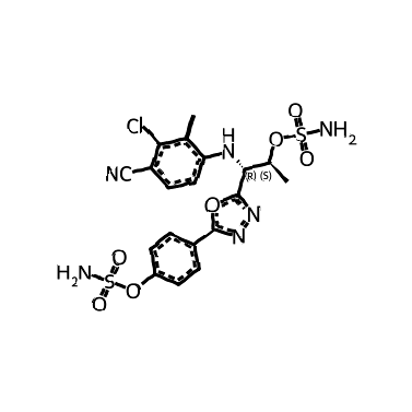 Cc1c(N[C@@H](c2nnc(-c3ccc(OS(N)(=O)=O)cc3)o2)[C@H](C)OS(N)(=O)=O)ccc(C#N)c1Cl